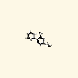 Fc1c[c]([Mg][Br])ccc1-c1ccccc1